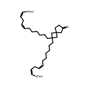 CCCCC/C=C\C/C=C\CCCCCCC1(CCCCCC/C=C\C/C=C\CCCCC)CC2(CCC(=O)C2)C1